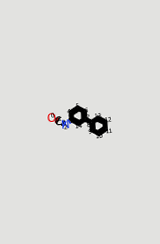 O=C=Nc1cccc(-c2ccccc2)c1